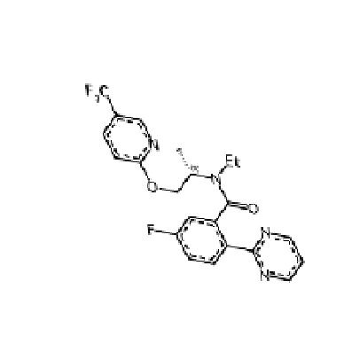 CCN(C(=O)c1cc(F)ccc1-c1ncccn1)[C@@H](C)COc1ccc(C(F)(F)F)cn1